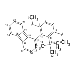 CCc1ccc(CC)c(C(C)(C)C)c1-c1cccc2c1=c1ccccc1=2